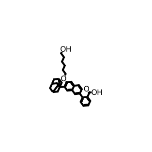 O=C(O)c1ccccc1-c1ccc2cc(OCCCCCCO)c(C34CC5CC(CC(C5)C3)C4)cc2c1